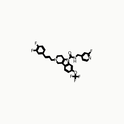 O=C(NCc1ccnc(F)c1)n1c2c(c3ccc(OC(F)(F)F)cc31)CN(CC=Cc1ccc(F)c(F)c1)CC2